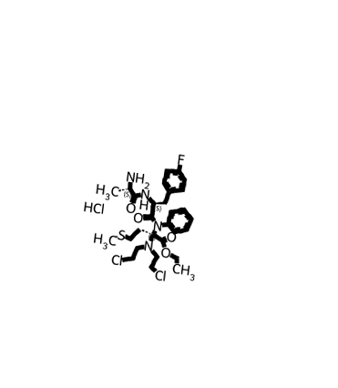 CCOC(=O)[C@@](CCSC)(N(CCCl)CCCl)N(C(=O)[C@H](Cc1ccc(F)cc1)NC(=O)[C@H](C)N)c1ccccc1.Cl